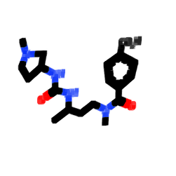 CC(CCN(C)C(=O)c1ccc(C(=O)O)cc1)NC(=O)NC1CCN(C)C1